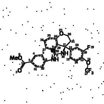 COC(=O)c1ccc(NC(=O)N[C@]2(c3ccc(OC(F)(F)F)c(F)c3)CCOc3cccnc32)cc1